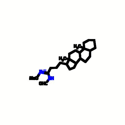 CO/N=C(/CCCC1CCC2C3CCC4CCCCC4(C)C3CCC12C)NC=O